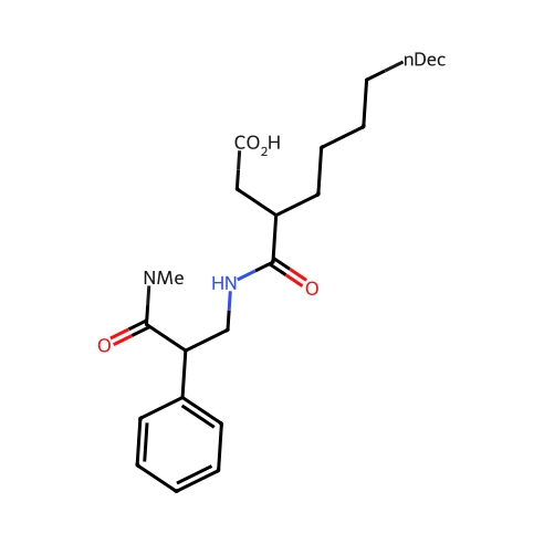 CCCCCCCCCCCCCCC(CC(=O)O)C(=O)NCC(C(=O)NC)c1ccccc1